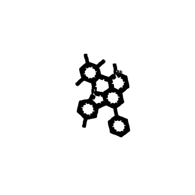 Cc1ccc2c(c1)c1c(-c3ccccc3)cc3cc[n+](C)c4c5c(C)c(C)cc(C)c5n2c1c34